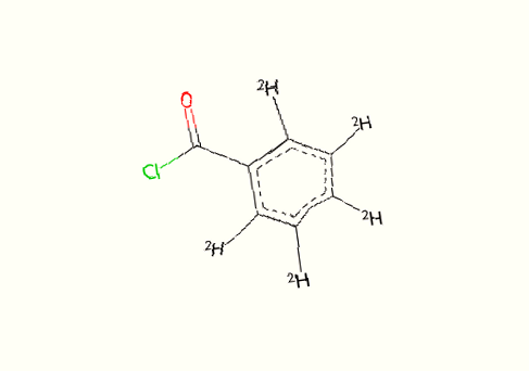 [2H]c1c([2H])c([2H])c(C(=O)Cl)c([2H])c1[2H]